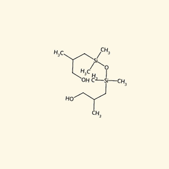 CC(CO)C[Si](C)(C)O[Si](C)(C)CC(C)CO